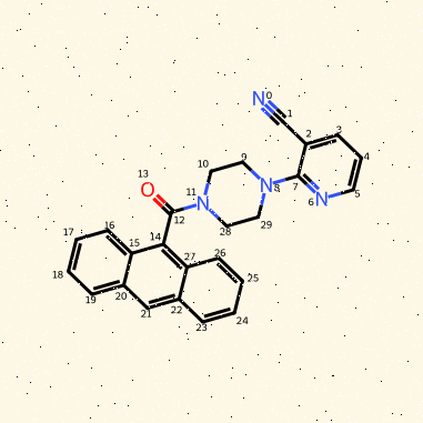 N#Cc1cccnc1N1CCN(C(=O)c2c3ccccc3cc3ccccc23)CC1